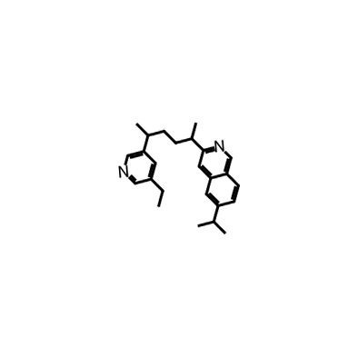 CCc1cncc(C(C)CCC(C)c2cc3cc(C(C)C)ccc3cn2)c1